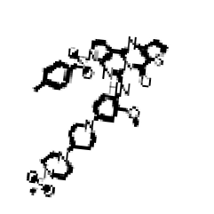 COc1cc(N2CCC(N3CCN(S(C)(=O)=O)CC3)CC2)ccc1Nc1nc2c(ccn2S(=O)(=O)c2ccc(C)cc2)c2nc3ccsc3c(=O)n12